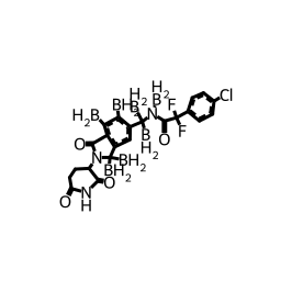 Bc1c(C(B)(B)N(B)C(=O)C(F)(F)c2ccc(Cl)cc2)cc2c(c1B)C(=O)N(C1CCC(=O)NC1=O)C2(B)B